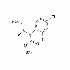 C[C@@H](CO)N(C(=O)OC(C)(C)C)c1ccc(Cl)cc1Cl